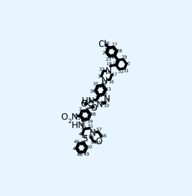 O=[N+]([O-])c1cc(S(=O)(=O)Nc2ncnc3cc(N4CCN(CC5=C(c6ccc(Cl)cc6)CCCC5)CC4)ccc23)ccc1NC(CSc1ccccc1)CN1CCOCC1